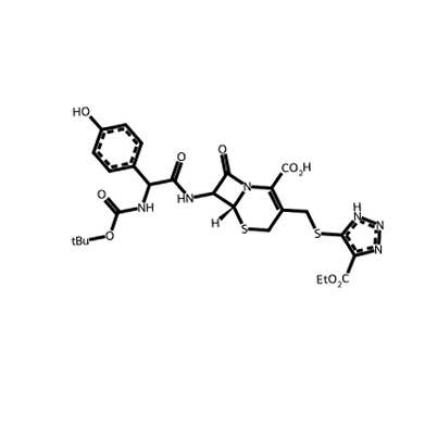 CCOC(=O)c1nn[nH]c1SCC1=C(C(=O)O)N2C(=O)C(NC(=O)C(NC(=O)OC(C)(C)C)c3ccc(O)cc3)[C@H]2SC1